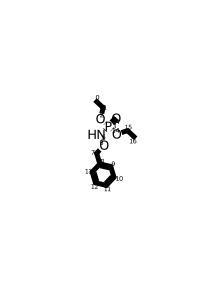 CCOP(=O)(NOCc1ccccc1)OCC